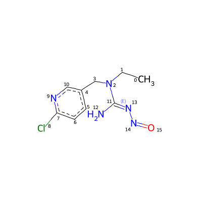 CCN(Cc1ccc(Cl)nc1)/C(N)=N/N=O